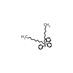 CCCCCCCCCCP(CCCCCCCCC)(Sc1ccccc1)(c1ccccc1)c1ccccc1